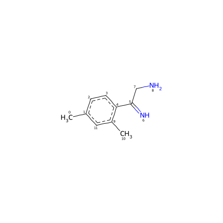 Cc1ccc(C(=N)CN)c(C)c1